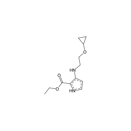 CCOC(=O)c1[nH]ccc1NCCOC1CC1